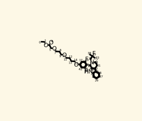 CCOC(=O)COCCCOCCCCOc1cc(F)c([C@@H]2c3[nH]c4ccccc4c3C[C@@H](C)N2CC(C)(C)F)c(F)c1